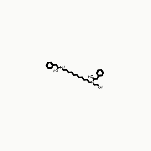 OCCN(CCCCCCCCCCCNC(O)Cc1ccccc1)C(O)Cc1ccccc1